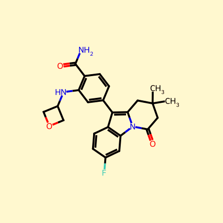 CC1(C)CC(=O)n2c(c(-c3ccc(C(N)=O)c(NC4COC4)c3)c3ccc(F)cc32)C1